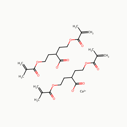 C=C(C)C(=O)OCCC(CCOC(=O)C(=C)C)C(=O)[O-].C=C(C)C(=O)OCCC(CCOC(=O)C(=C)C)C(=O)[O-].[Ca+2]